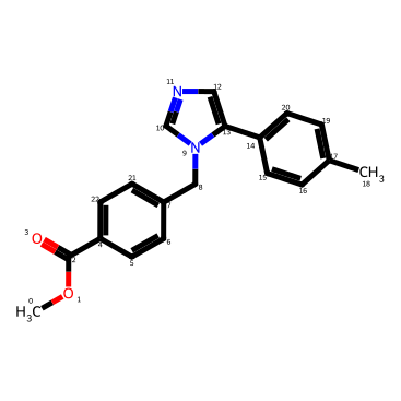 COC(=O)c1ccc(Cn2cncc2-c2ccc(C)cc2)cc1